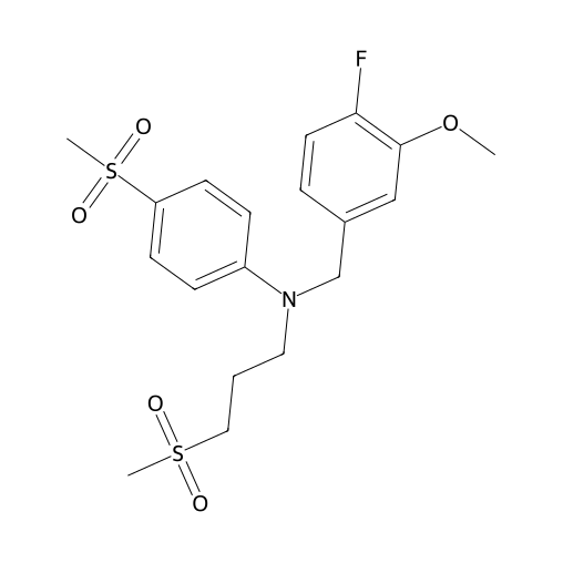 COc1cc(CN(CCCS(C)(=O)=O)c2ccc(S(C)(=O)=O)cc2)ccc1F